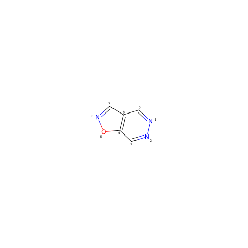 c1nncc2oncc12